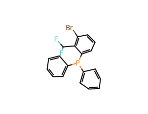 FC(F)c1c(Br)cccc1P(c1ccccc1)c1ccccc1